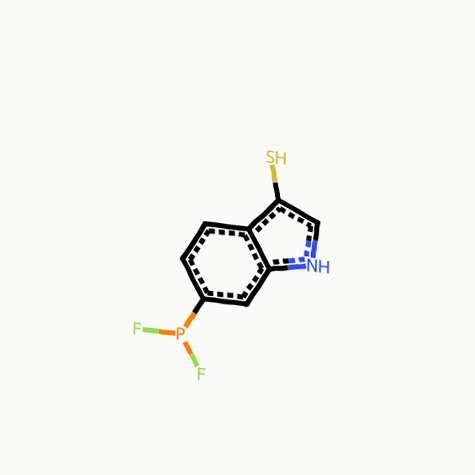 FP(F)c1ccc2c(S)c[nH]c2c1